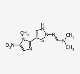 CN(C)C=NN1NC=C(c2ncc([N+](=O)[O-])n2C)S1